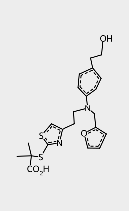 CC(C)(Sc1nc(CCN(Cc2ccco2)c2ccc(CCO)cc2)cs1)C(=O)O